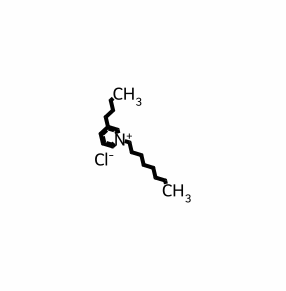 CCCCCCCC[n+]1cccc(CCCC)c1.[Cl-]